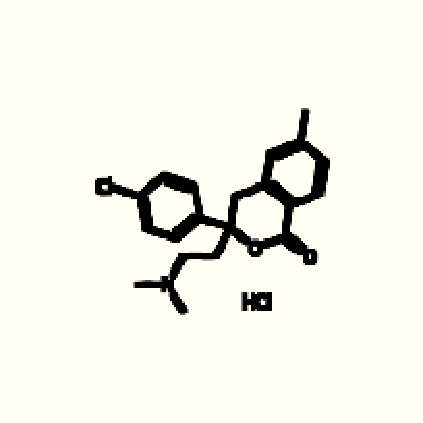 Cc1ccc2c(c1)CC(CCN(C)C)(c1ccc(Cl)cc1)OC2=O.Cl